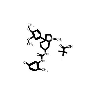 COc1ccc(C23CCC(NC(=O)Nc4cc(Cl)ccc4C)CC2N(C)CC3)cc1OC.O=C(O)C(F)(F)F